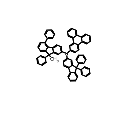 CC1(c2ccccc2)c2cc(N(c3ccc4c(c3)C(c3ccccc3)(c3ccccc3)c3ccccc3-4)c3ccc4c5ccccc5c5ccccc5c4c3)ccc2-c2c(-c3ccccc3)cccc21